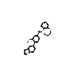 CC(=O)N(C)c1cc(C(=O)N2CC[C@H](C)Nc3ccccc32)ccc1-c1ccc2[nH]ccc2c1